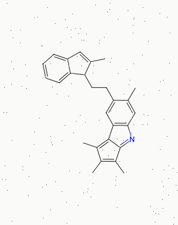 CC1=Cc2ccccc2C1CCc1cc2c(cc1C)N=C1C(C)=C(C)C(C)=C12